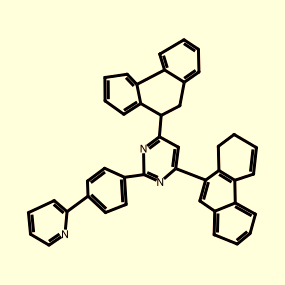 C1=Cc2c(c(-c3cc(C4Cc5ccccc5-c5ccccc54)nc(-c4ccc(-c5ccccn5)cc4)n3)cc3ccccc23)CC1